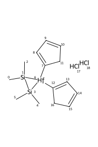 C[Si]1(C)[Si](C)(C)[Hf]1([C]1=CC=CC1)[C]1=CC=CC1.Cl.Cl